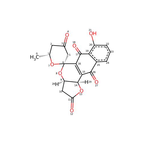 C[C@@H]1CC(=O)C[C@@]2(O1)O[C@@H]1CC(=O)O[C@@H]1C1=C2C(=O)c2c(O)cccc2C1=O